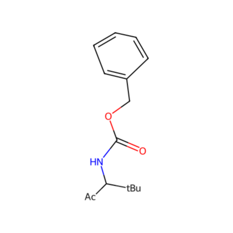 CC(=O)C(NC(=O)OCc1ccccc1)C(C)(C)C